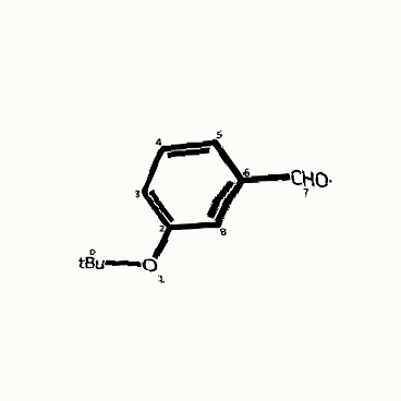 CC(C)(C)Oc1cccc([C]=O)c1